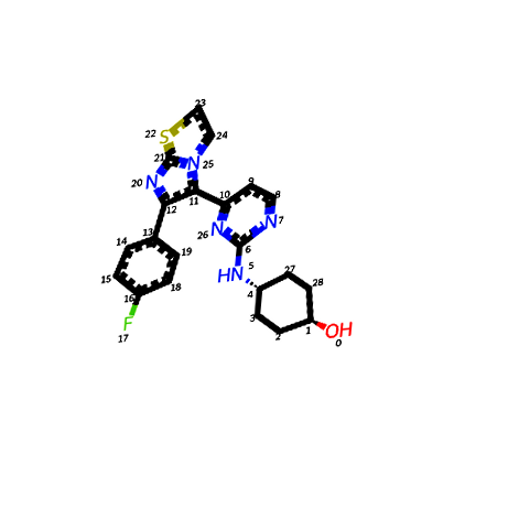 O[C@H]1CC[C@H](Nc2nccc(-c3c(-c4ccc(F)cc4)nc4sccn34)n2)CC1